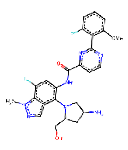 COc1cccc(F)c1-c1nccc(C(=O)Nc2cc(F)c3c(cnn3C)c2N2CC(N)CC2CO)n1